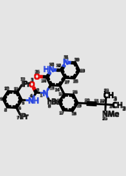 CCCCN(C(=O)Nc1c(C(C)C)cccc1C(C)C)c1c(-c2cccc(C#CC(C)(C)NC)c2)c2cccnc2[nH]c1=O